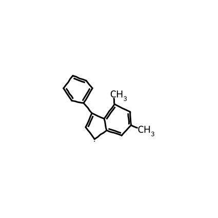 Cc1cc(C)c2c(c1)[CH]C=C2c1ccccc1